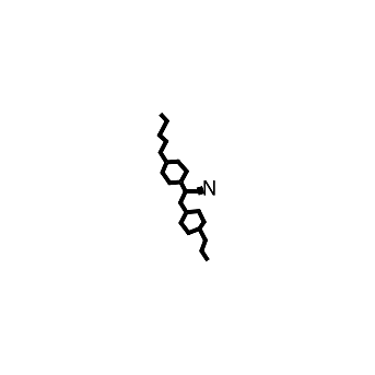 CCCCCC1CCC(C(C#N)CC2CCC(CCC)CC2)CC1